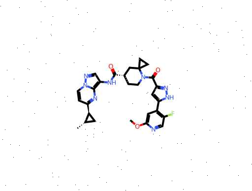 COc1cc(-c2cc(C(=O)N3CC[C@H](C(=O)Nc4cnn5ccc([C@H]6C[C@@H]6C)nc45)CC34CC4)n[nH]2)c(F)cn1